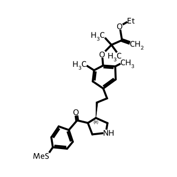 C=C(OCC)C(C)(C)Oc1c(C)cc(CC[C@H]2CNCC2C(=O)c2ccc(SC)cc2)cc1C